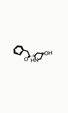 O=C(Cc1ccccc1)[C@@H]1C[C@@H](O)CN1